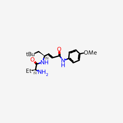 CC[C@H](N)C(=O)N[C@H](C=CC(=O)Nc1ccc(OC)cc1)CC(C)(C)C